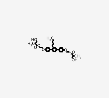 C=CCCCc1cc(-c2ccc(OCCOC(=O)C(C)CO)cc2)ccc1-c1ccc(OCCOC(=O)C(=C)CO)cc1